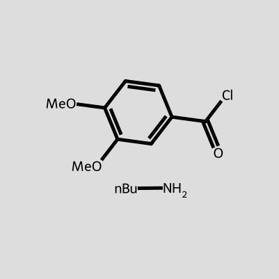 CCCCN.COc1ccc(C(=O)Cl)cc1OC